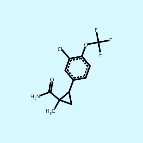 CC1(C(N)=O)CC1c1ccc(OC(F)(F)F)c(Cl)c1